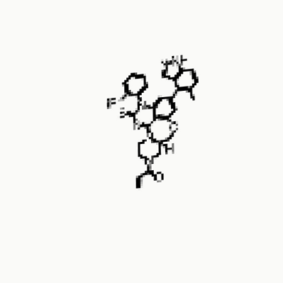 C=CC(=O)N1CCN2c3nc(=S)n(-c4ccccc4C(C)C)c4cc(-c5c(C)ccc6[nH]ncc56)cc(c34)OC[C@@H]2C1